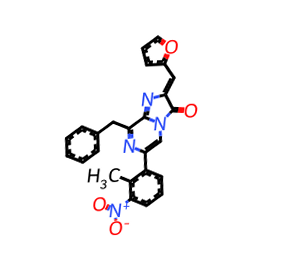 Cc1c(C2=CN3C(=O)/C(=C/c4ccco4)N=C3C(Cc3ccccc3)=N2)cccc1[N+](=O)[O-]